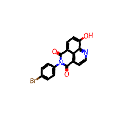 O=C1c2ccnc3c(O)ccc(c23)C(=O)N1c1ccc(Br)cc1